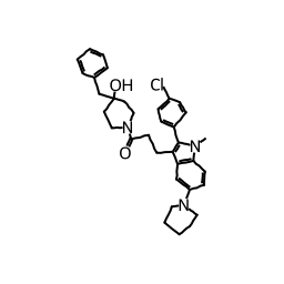 Cn1c(-c2ccc(Cl)cc2)c(CCC(=O)N2CCC(O)(Cc3ccccc3)CC2)c2cc(N3CCCCC3)ccc21